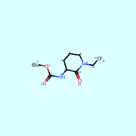 CC(C)(C)OC(=O)NC1CCCN(CC(F)(F)F)C1=O